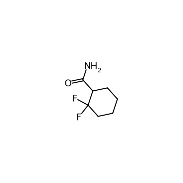 NC(=O)C1CCCCC1(F)F